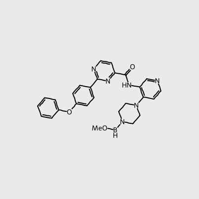 COBN1CCN(c2ccncc2NC(=O)c2ccnc(-c3ccc(Oc4ccccc4)cc3)n2)CC1